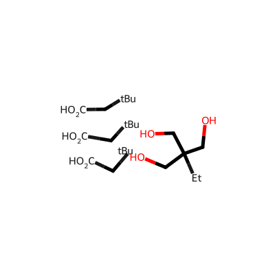 CC(C)(C)CC(=O)O.CC(C)(C)CC(=O)O.CC(C)(C)CC(=O)O.CCC(CO)(CO)CO